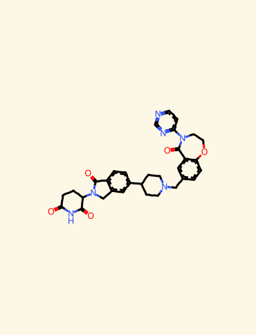 O=C1CCC(N2Cc3cc(C4CCN(Cc5ccc6c(c5)C(=O)N(c5ccncn5)CCO6)CC4)ccc3C2=O)C(=O)N1